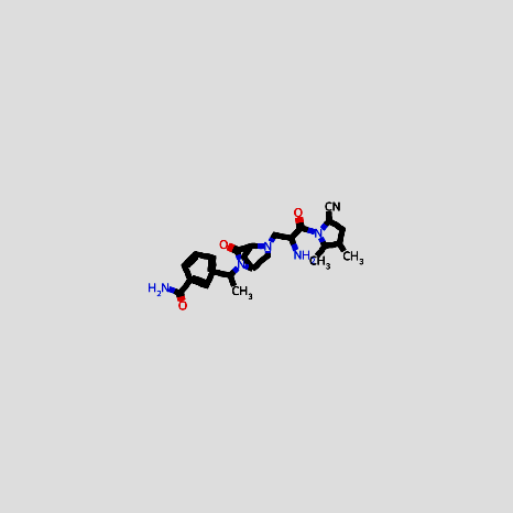 CC1CC(C#N)N(C(=O)C(N)CN2CC3CC2C(=O)N3C(C)c2cccc(C(N)=O)c2)C1C